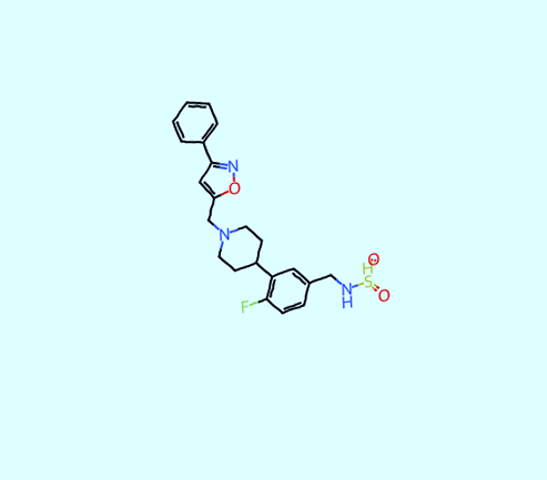 O=[SH](=O)NCc1ccc(F)c(C2CCN(Cc3cc(-c4ccccc4)no3)CC2)c1